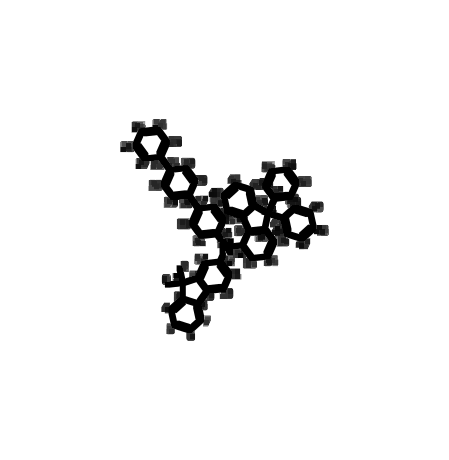 CC1(C)c2ccccc2-c2ccc(N(c3ccc(-c4ccc(-c5ccccc5)cc4)cc3)C3CC=CC4=C3c3ccccc3C4(c3ccccc3)c3ccccc3)cc21